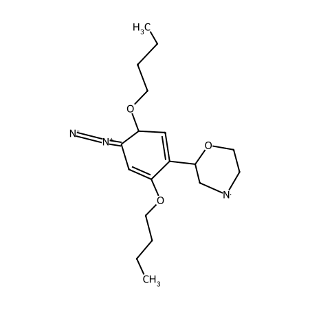 CCCCOC1=CC(=[N+]=[N-])C(OCCCC)C=C1C1C[N]CCO1